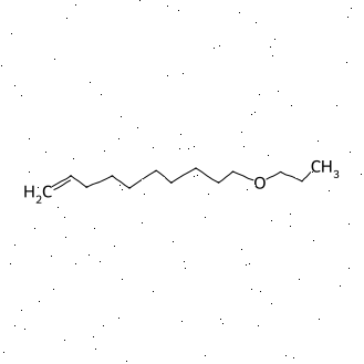 C=CCCCCCCCCOCCC